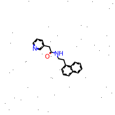 O=C(Cc1cccnc1)NCCc1cccc2ccccc12